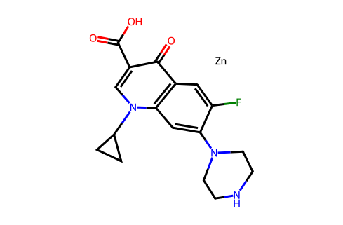 O=C(O)c1cn(C2CC2)c2cc(N3CCNCC3)c(F)cc2c1=O.[Zn]